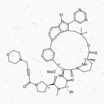 CCn1c(-c2cncnc2)c2c3cc(ccc31)-c1cccc(c1)[C@@H](OC)[C@H](NC(=O)[C@H](C(C)C)N(C)C(=O)[C@H]1CCN(C(=O)C#CCN3CCOCC3)C1)C(=O)N1CCC[C@H](N1)C(=O)OCC(C)(C)C2